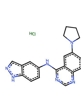 Cl.c1nc(Nc2ccc3[nH]ncc3c2)c2cc(N3CCCC3)ccc2n1